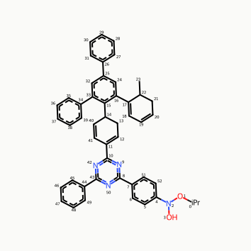 CC(C)ON(O)c1ccc(-c2nc(C3=CCC(c4c(C5=CC=CCC5C)cc(-c5ccccc5)cc4-c4ccccc4)C=C3)nc(-c3ccccc3)n2)cc1